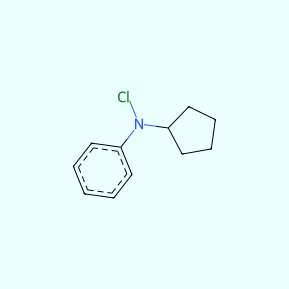 ClN(c1ccccc1)C1CCCC1